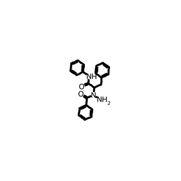 NN(C(=O)c1ccccc1)C(Cc1ccccc1)C(=O)Nc1ccccc1